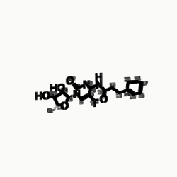 C[C@H]1O[C@@H](n2cc(F)c(NC(=O)CCc3ccccc3)nc2=O)C(O)C1O